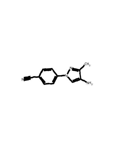 Cc1nn(-c2ccc(C#N)cc2)cc1N